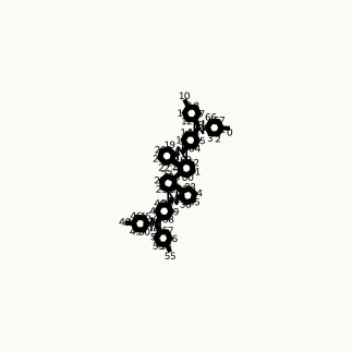 Cc1ccc(N(c2ccc(C)cc2)c2ccc(-n3c4ccccc4c4c(-c5cccc6c5c5ccccc5n6-c5ccc(N(c6ccc(C)cc6)c6ccc(C)cc6)cc5)cccc43)cc2)cc1